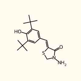 CC(C)(C)c1cc(/C=C2\SCN(N)C2=O)cc(C(C)(C)C)c1O